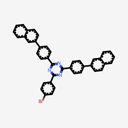 Brc1ccc(-c2nc(-c3ccc(-c4ccc5ccccc5c4)cc3)nc(-c3ccc(-c4ccc5ccccc5c4)cc3)n2)cc1